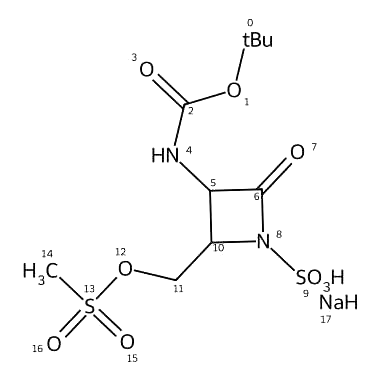 CC(C)(C)OC(=O)NC1C(=O)N(S(=O)(=O)O)C1COS(C)(=O)=O.[NaH]